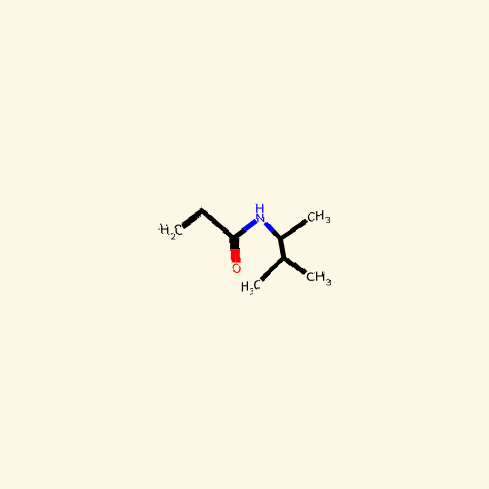 [CH2]CC(=O)NC(C)C(C)C